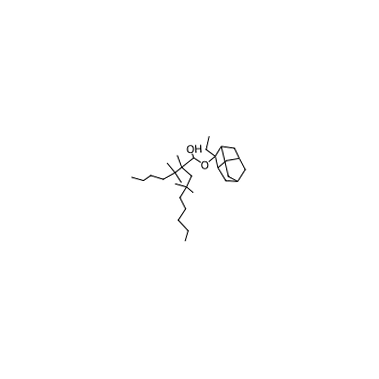 CCCCCC(C)(C)CC(C)(C(O)OC1(CC)C2CC3CC(C2)CC1C3)C(C)(C)CCCC